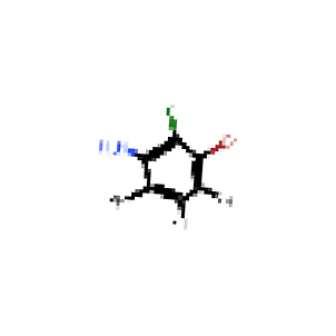 [2H]c1c([2H])c(N)c(Cl)c(Br)c1[2H]